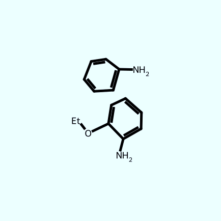 CCOc1ccccc1N.Nc1ccccc1